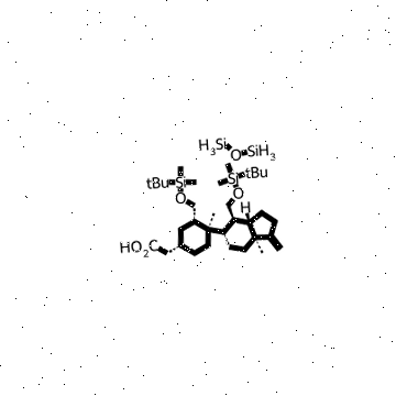 C=C1CC[C@H]2[C@H](CO[Si](C)(C)C(C)(C)C)[C@@H]([C@@]3(C)CC[C@H](CC(=O)O)C[C@@H]3CO[Si](C)(C)C(C)(C)C)CC[C@]12C.[SiH3]O[SiH3]